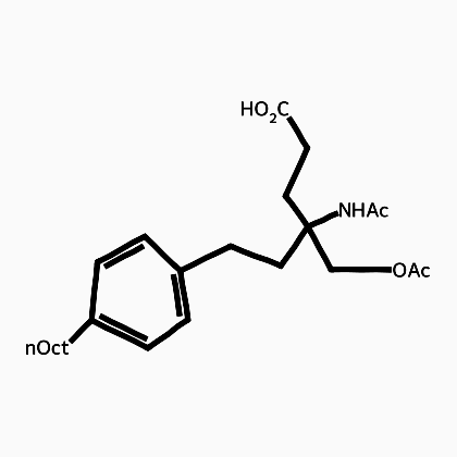 CCCCCCCCc1ccc(CCC(CCC(=O)O)(COC(C)=O)NC(C)=O)cc1